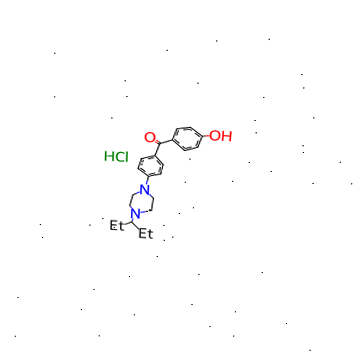 CCC(CC)N1CCN(c2ccc(C(=O)c3ccc(O)cc3)cc2)CC1.Cl